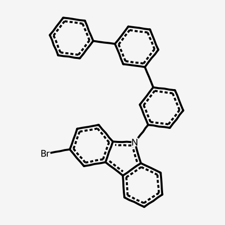 Brc1ccc2c(c1)c1ccccc1n2-c1cccc(-c2cccc(-c3ccccc3)c2)c1